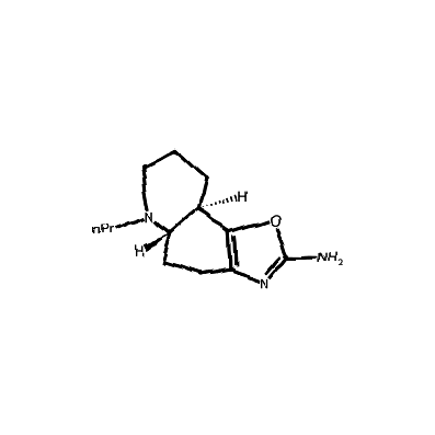 CCCN1CCC[C@H]2c3oc(N)nc3CC[C@@H]21